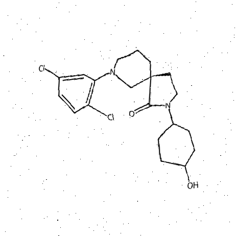 O=C1N(C2CCC(O)CC2)CC[C@@]12CCCN(c1cc(Cl)ccc1Cl)C2